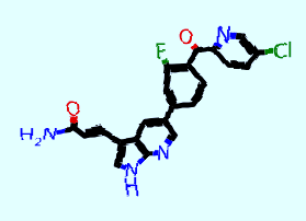 NC(=O)C=Cc1c[nH]c2ncc(-c3ccc(C(=O)c4ccc(Cl)cn4)c(F)c3)cc12